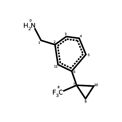 NCc1cccc(C2(C(F)(F)F)CC2)c1